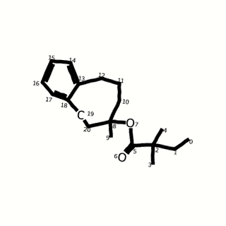 CCC(C)(C)C(=O)OC1(C)CCCc2ccccc2CC1